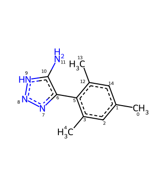 Cc1cc(C)c(-c2nn[nH]c2N)c(C)c1